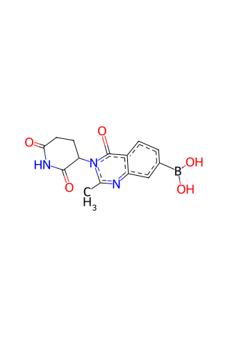 Cc1nc2cc(B(O)O)ccc2c(=O)n1C1CCC(=O)NC1=O